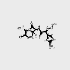 CCCCON=C(C(=O)NC1C(=O)N2C(C(=O)O)=C(Cl)CS[C@@H]12)c1csc(N)n1